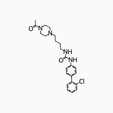 CC(=O)N1CCN(CCCCNC(=O)Nc2ccc(-c3ccccc3Cl)cc2)CC1